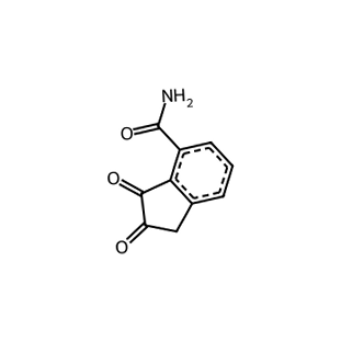 NC(=O)c1cccc2c1C(=O)C(=O)C2